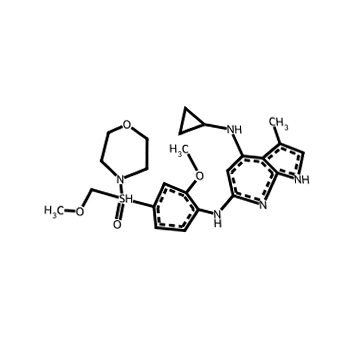 COC[SH](=O)(c1ccc(Nc2cc(NC3CC3)c3c(C)c[nH]c3n2)c(OC)c1)N1CCOCC1